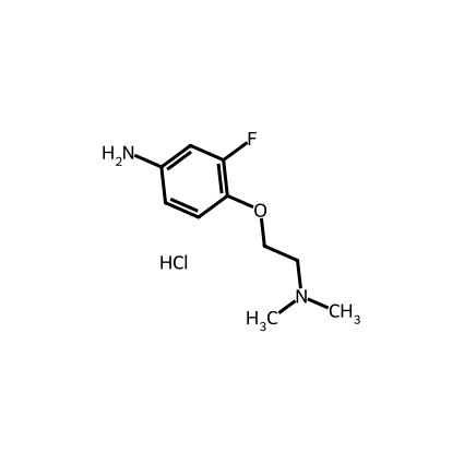 CN(C)CCOc1ccc(N)cc1F.Cl